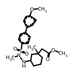 COC(=O)CC1(C)CCCC(NN(C)S(=O)(=O)c2ccc(-c3ccc(OC)cc3)cc2)C1